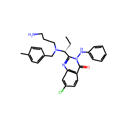 CC[C@H](c1nc2cc(Cl)ccc2c(=O)n1Nc1ccccc1)N(CCCN)Cc1ccc(C)cc1